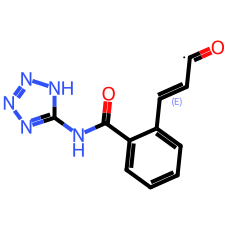 O=[C]/C=C/c1ccccc1C(=O)Nc1nnn[nH]1